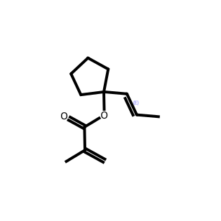 C=C(C)C(=O)OC1(/C=C/C)CCCC1